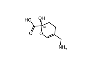 NCC1=CO[C@](O)(C(=O)O)CC1